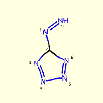 N=NC1N=NN=N1